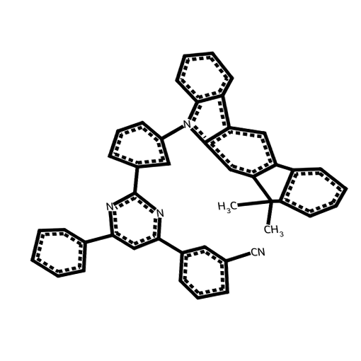 CC1(C)c2ccccc2-c2cc3c4ccccc4n(-c4cccc(-c5nc(-c6ccccc6)cc(-c6cccc(C#N)c6)n5)c4)c3cc21